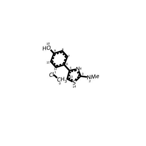 CCl.CNc1nc(-c2ccc(O)cc2)cs1